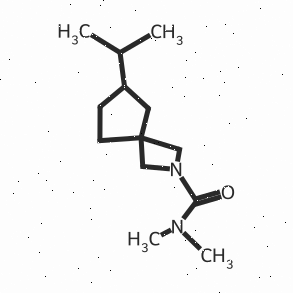 CC(C)C1CCC2(C1)CN(C(=O)N(C)C)C2